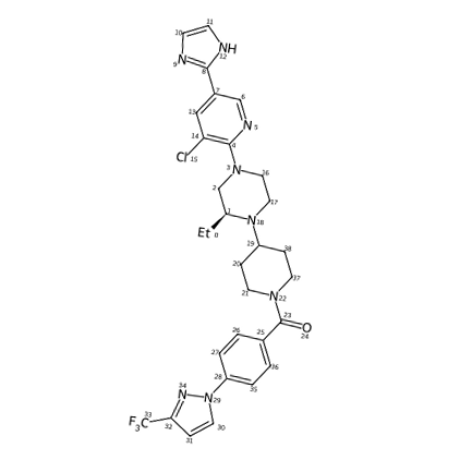 CC[C@H]1CN(c2ncc(-c3ncc[nH]3)cc2Cl)CCN1C1CCN(C(=O)c2ccc(-n3ccc(C(F)(F)F)n3)cc2)CC1